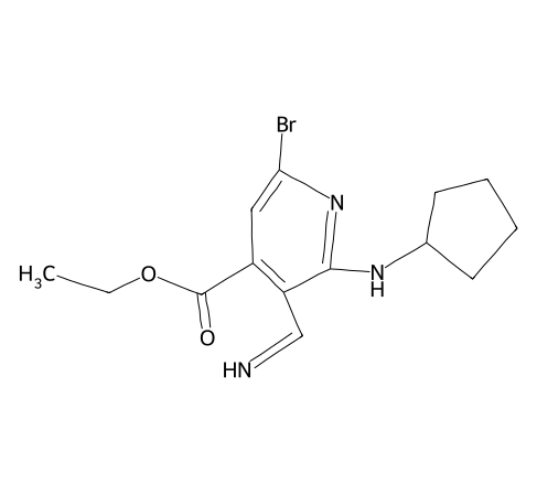 CCOC(=O)c1cc(Br)nc(NC2CCCC2)c1C=N